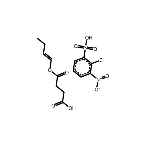 CCC=COC(=O)CCC(=O)O.O=[N+]([O-])c1cccc(S(=O)(=O)O)c1Cl